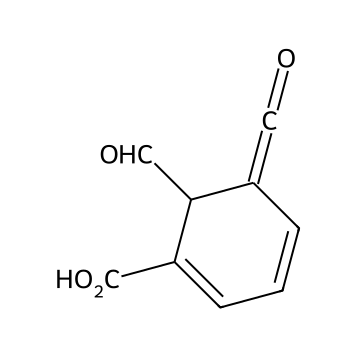 O=C=C1C=CC=C(C(=O)O)C1C=O